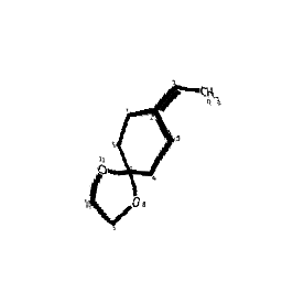 CC=C1CCC2(CC1)OCCO2